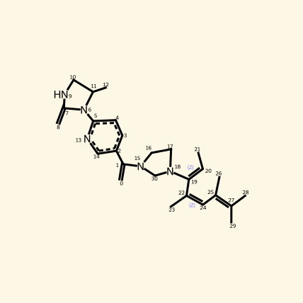 C=C(c1ccc(N2C(=C)NCC2C)nc1)N1CCN(C(=C\C)/C(C)=C\C(C)=C(C)C)C1